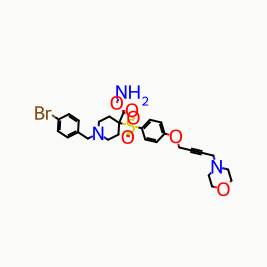 NOC(=O)C1(S(=O)(=O)c2ccc(OCC#CCN3CCOCC3)cc2)CCN(Cc2ccc(Br)cc2)CC1